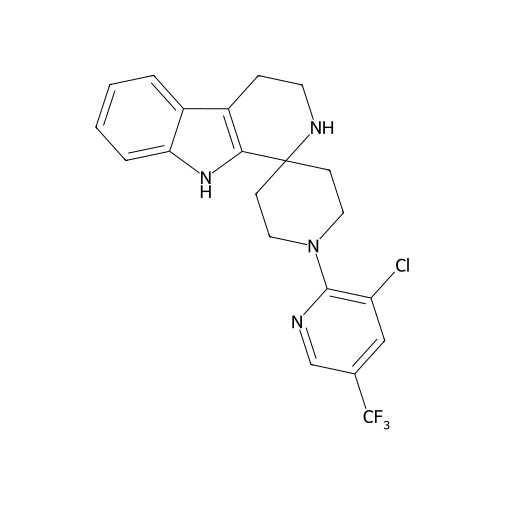 FC(F)(F)c1cnc(N2CCC3(CC2)NCCc2c3[nH]c3ccccc23)c(Cl)c1